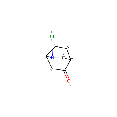 O=C1CC2CCC1CN2Cl